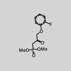 COP(=O)(CC(=O)COc1ccccc1F)OC